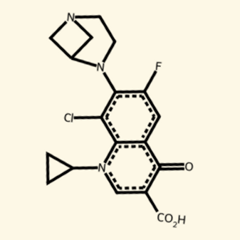 O=C(O)c1cn(C2CC2)c2c(Cl)c(N3CCN4CC3C4)c(F)cc2c1=O